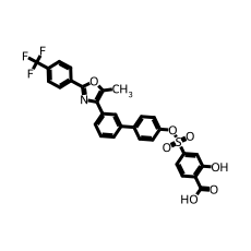 Cc1oc(-c2ccc(C(F)(F)F)cc2)nc1-c1cccc(-c2ccc(OS(=O)(=O)c3ccc(C(=O)O)c(O)c3)cc2)c1